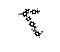 CC(C(=O)Nc1ccc(C(F)(F)F)cc1)c1cc(O)cc(N2CCN(c3ccc(C(=O)NS(=O)(=O)c4ccc(F)c(N=O)c4)cc3)CC2)c1